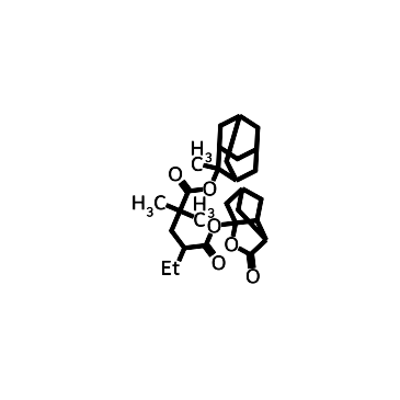 CCC(CC(C)(C)C(=O)OC1(C)C2CC3CC(C2)CC1C3)C(=O)OC12CC3CC(C(=O)O1)C2C3